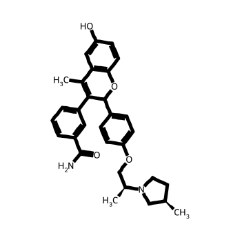 CC1=C(c2cccc(C(N)=O)c2)C(c2ccc(OC[C@H](C)N3CC[C@@H](C)C3)cc2)Oc2ccc(O)cc21